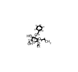 C=CCO[C@H]1[C@@H](OCC)O[C@H](CO)[C@@H](O)[C@@H]1OCc1ccccc1